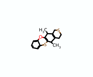 CC1C2=C(CCSC2)C(C)C2=C1Oc1ccccc1S2